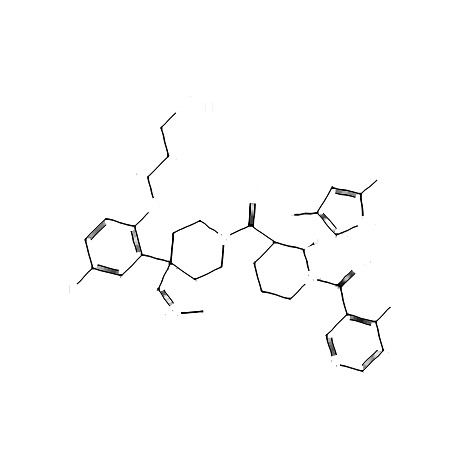 CCC[C@H]1N(C(=O)c2cnccc2C(F)(F)F)CCC[C@@]1(Oc1csc(C(F)(F)F)c1)C(=O)N1CCC(/C=N\C)(c2cc(F)ccc2OCCCC(=O)O)CC1